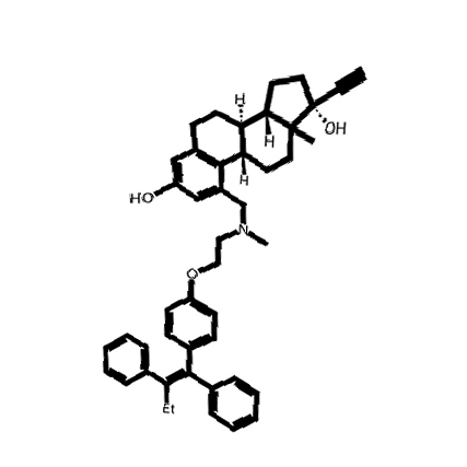 C#C[C@]1(O)CC[C@H]2[C@@H]3CCc4cc(O)cc(CN(C)CCOc5ccc(/C(=C(/CC)c6ccccc6)c6ccccc6)cc5)c4[C@H]3CCC21C